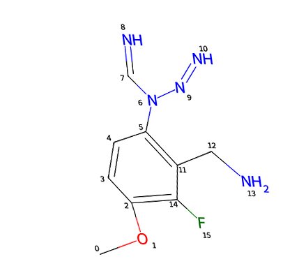 COc1ccc(N(C=N)N=N)c(CN)c1F